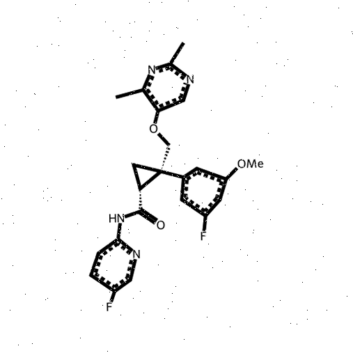 COc1cc(F)cc([C@]2(COc3cnc(C)nc3C)C[C@H]2C(=O)Nc2ccc(F)cn2)c1